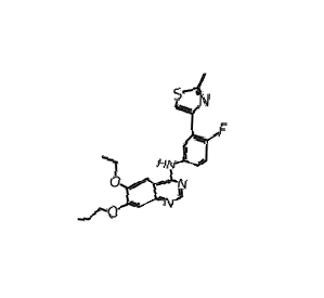 CCCOc1cc2ncnc(Nc3ccc(F)c(-c4csc(C)n4)c3)c2cc1OCC